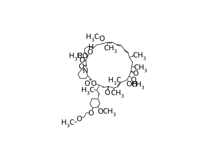 CCOCCOC1CC[C@@H](C[C@@H](C)[C@@H]2CC(=O)[C@H](C)/C=C(\C)[C@@H](O)C(OC)C(=O)[C@H](C)C[C@H](C)/C=C/C=C/C=C(\C)[C@@H](OC)C[C@@H]3CC[C@@H](C)[C@@](O)(O3)C(=O)C(=O)N3CCCCC3C(=O)O2)C[C@H]1OC